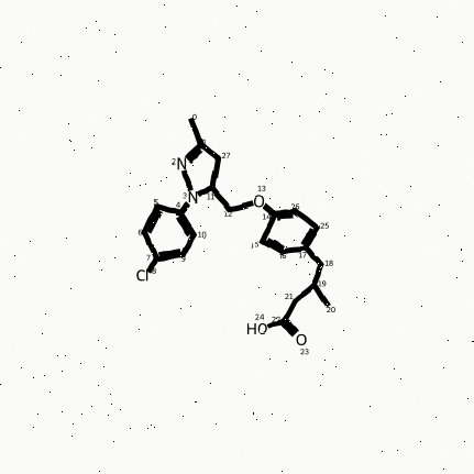 CC1=NN(c2ccc(Cl)cc2)C(COc2ccc(CC(C)CC(=O)O)cc2)C1